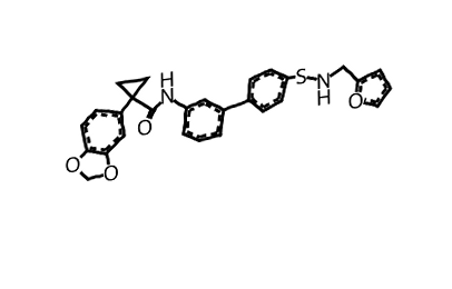 O=C(Nc1cccc(-c2ccc(SNCc3ccco3)cc2)c1)C1(c2ccc3c(c2)OCO3)CC1